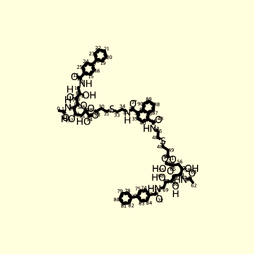 CC(=O)N[C@H]1[C@H]([C@H](O)[C@H](O)CNC(=O)c2ccc(-c3ccccc3)cc2)O[C@@](OCCCSCCNC(=O)c2ccc(C(=O)NCCSCCCO[C@]3(C(=O)O)C[C@H](O)[C@@H](NC(C)=O)[C@H]([C@H](O)[C@H](O)CNC(=O)c4ccc(-c5ccccc5)cc4)O3)c3ccccc23)(C(=O)O)C[C@@H]1O